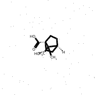 CC1(C)[C@H]2CC[C@]1(C(=O)O)[C@@H](O)C2